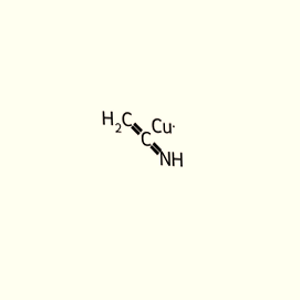 C=C=N.[Cu]